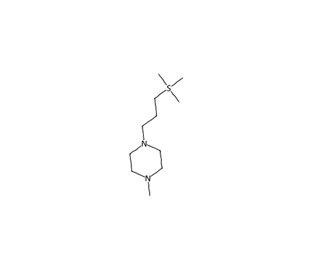 CN1CCN(CCCS(C)(C)C)CC1